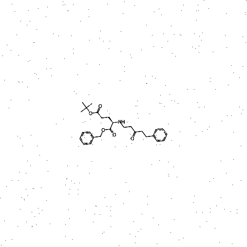 CC(C)(C)OC(=O)CC[C@@H](NCCC(=O)CCc1ccccc1)C(=O)OCc1ccccc1